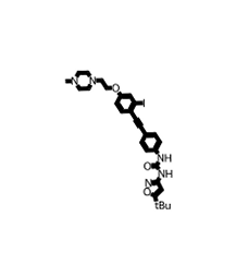 CN1CCN(CCOc2ccc(C#Cc3ccc(NC(=O)Nc4cc(C(C)(C)C)on4)cc3)c(I)c2)CC1